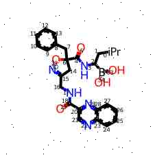 CC(C)CC(NC(=O)C1(Cc2ccccc2)CC(CNC(=O)c2cnc3ccccc3n2)=NO1)B(O)O